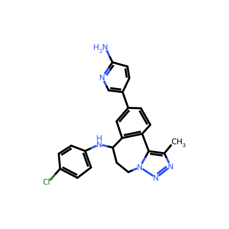 Cc1nnn2c1-c1ccc(-c3ccc(N)nc3)cc1C(Nc1ccc(Cl)cc1)CC2